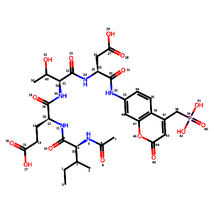 CCC(C)[C@H](NC(C)=O)C(=O)N[C@@H](CCC(=O)O)C(=O)N[C@H](C(=O)N[C@@H](CC(=O)O)C(=O)Nc1ccc2c(CP(=O)(O)O)cc(=O)oc2c1)C(C)O